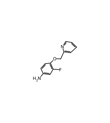 Nc1ccc(OCc2ccccn2)c(F)c1